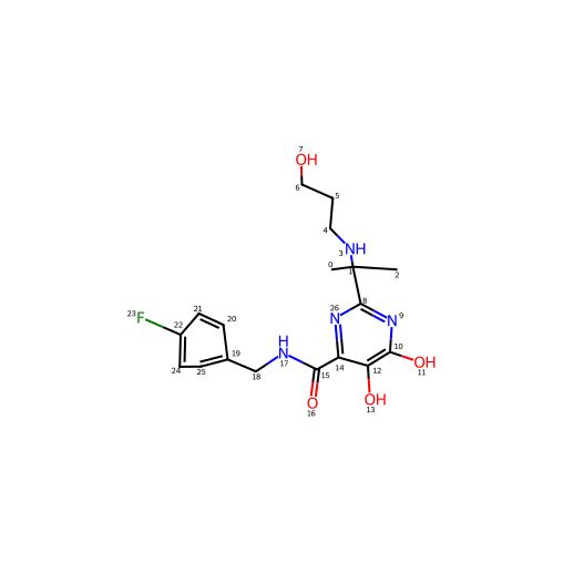 CC(C)(NCCCO)c1nc(O)c(O)c(C(=O)NCc2ccc(F)cc2)n1